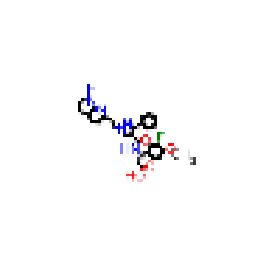 COc1ccc([C@H](CC(=O)O)NC(=O)c2cn(CCc3ccc4c(n3)NCCC4)nc2-c2ccccc2)cc1F